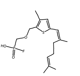 CC(C)=CCCC(C)=Cc1cc(C)c(COCP(=O)(O)F)s1